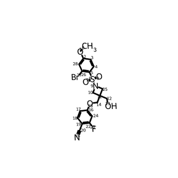 COc1ccc(S(=O)(=O)N2CC(CO)(COc3ccc(C#N)c(F)c3)C2)c(Br)c1